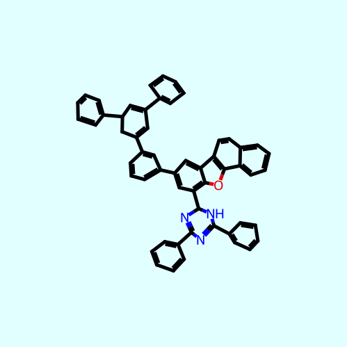 C1=C(c2ccccc2)C=C(c2cccc(-c3cc(C4N=C(c5ccccc5)N=C(c5ccccc5)N4)c4oc5c6ccccc6ccc5c4c3)c2)CC1c1ccccc1